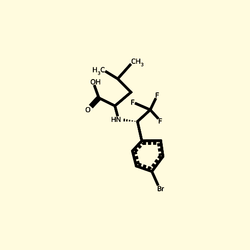 CC(C)CC(N[C@@H](c1ccc(Br)cc1)C(F)(F)F)C(=O)O